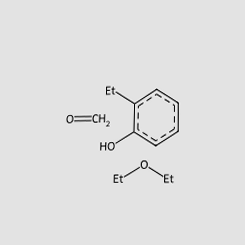 C=O.CCOCC.CCc1ccccc1O